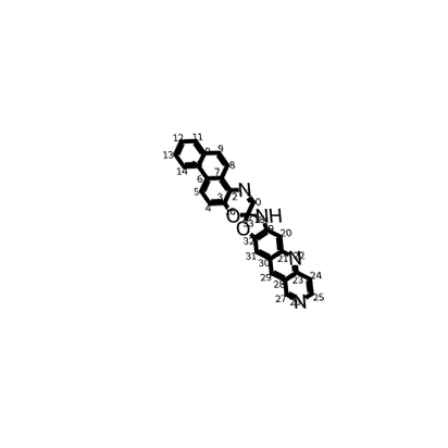 C1=Nc2c(ccc3c2ccc2ccccc23)O[C@]12Nc1cc3nc4ccncc4cc3cc1O2